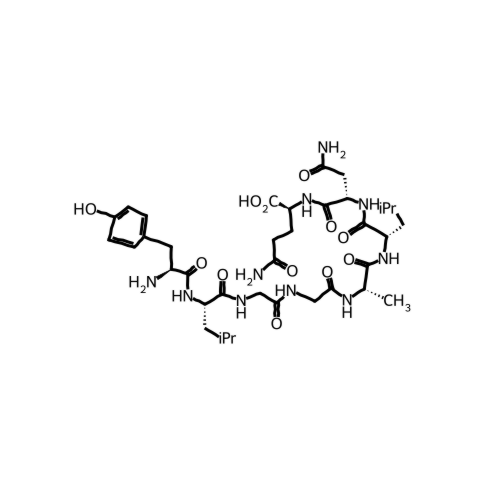 CC(C)C[C@H](NC(=O)[C@H](C)NC(=O)CNC(=O)CNC(=O)[C@H](CC(C)C)NC(=O)[C@@H](N)Cc1ccc(O)cc1)C(=O)N[C@@H](CC(N)=O)C(=O)N[C@@H](CCC(N)=O)C(=O)O